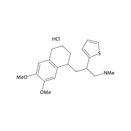 CNCC(CC1CCCc2cc(OC)c(OC)cc21)c1cccs1.Cl